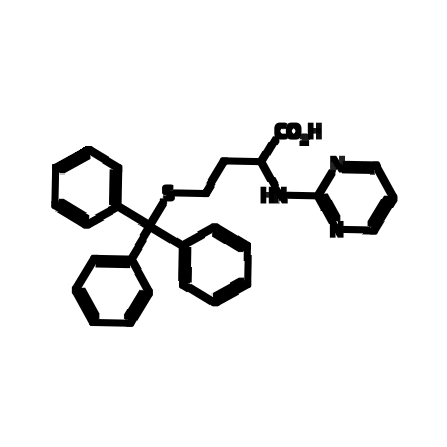 O=C(O)C(CCSC(c1ccccc1)(c1ccccc1)c1ccccc1)Nc1ncccn1